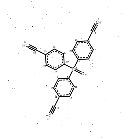 C#Cc1ccc(P(=O)(c2ccc(C#C)cc2)c2ccc(C#C)cc2)cc1